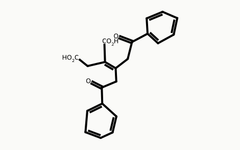 O=C(O)CC(C(=O)O)=C(CC(=O)c1ccccc1)CC(=O)c1ccccc1